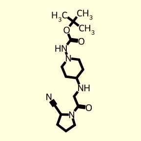 CC(C)(C)OC(=O)NN1CCC(NCC(=O)N2CCCC2C#N)CC1